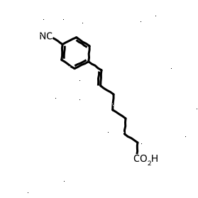 N#Cc1ccc(C=CCCCCCC(=O)O)cc1